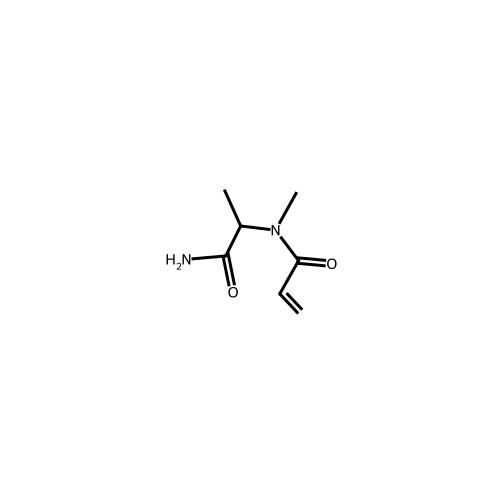 C=CC(=O)N(C)C(C)C(N)=O